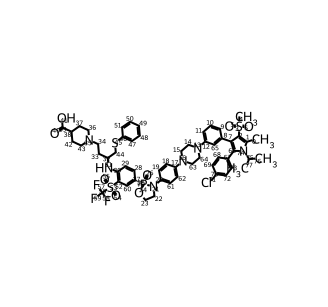 Cc1c(S(C)(=O)=O)c(-c2cccc(N3CCN(c4ccc(N5CCO[P@]5(=O)c5ccc(NC(CCN6CCC(C(=O)O)CC6)CSc6ccccc6)c(S(=O)(=O)C(F)(F)F)c5)cc4)CC3)c2)c(-c2ccc(Cl)cc2)n1C(C)C